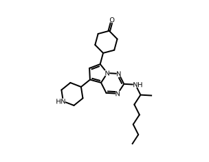 CCCCCC(C)Nc1ncc2c(C3CCNCC3)cc(C3CCC(=O)CC3)n2n1